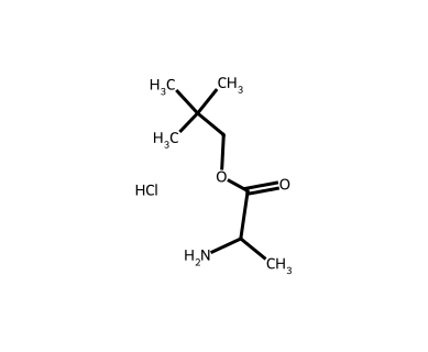 CC(N)C(=O)OCC(C)(C)C.Cl